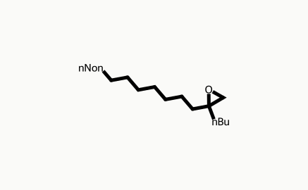 CCCCCCCCCCCCCCCCC1(CCCC)CO1